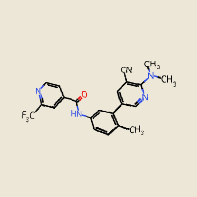 Cc1ccc(NC(=O)c2ccnc(C(F)(F)F)c2)cc1-c1cnc(N(C)C)c(C#N)c1